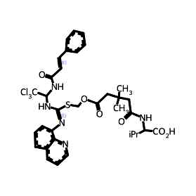 CC(C)C(NC(=O)CC(C)(C)CC(=O)OCS/C(=N/c1cccc2cccnc12)NC(NC(=O)/C=C/c1ccccc1)C(Cl)(Cl)Cl)C(=O)O